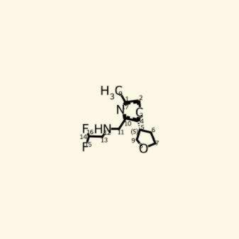 Cc1ccc([C@@H]2CCOC2)c(CNCC(F)F)n1